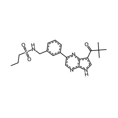 CCCS(=O)(=O)NCc1cccc(-c2cnc3[nH]cc(C(=O)C(C)(C)C)c3n2)c1